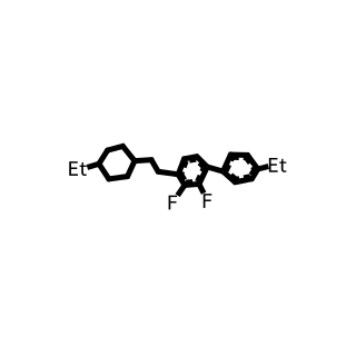 CCc1ccc(-c2ccc(CCC3CCC(CC)CC3)c(F)c2F)cc1